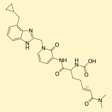 CN(C)C(=O)/C=C/CCC(NC(=O)O)C(=O)Nc1cccn(Cc2nc3c(CC4CC4)cccc3[nH]2)c1=O